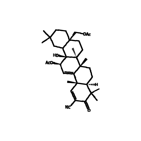 CC(=O)OC[C@]12CCC(C)(C)CC1[C@@]1(O)[C@H](OC(C)=O)C=C3[C@@]4(C)C=C(C#N)C(=O)C(C)(C)[C@@H]4CC[C@@]3(C)[C@]1(C)CC2